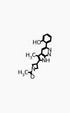 CC(=O)N1CC(c2[nH]c3nnc(-c4ccccc4O)cc3c2C)C1